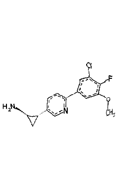 COc1cc(-c2ccc([C@@H]3C[C@H]3N)cn2)cc(Cl)c1F